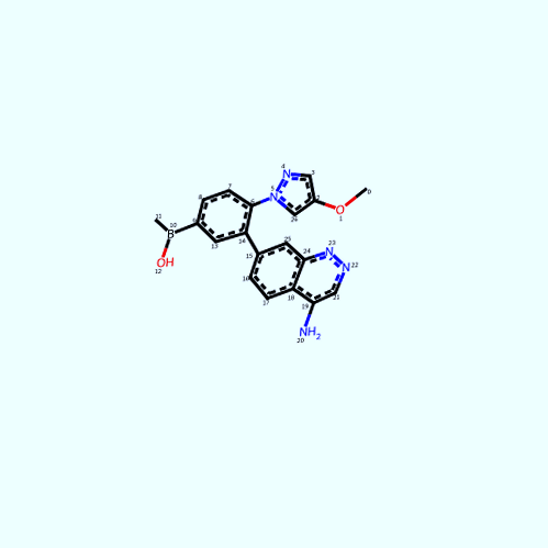 COc1cnn(-c2ccc(B(C)O)cc2-c2ccc3c(N)cnnc3c2)c1